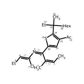 C\C=C(C)/C(=N\C(Cl)=C\CC)c1cc(C(C)=O)c(C(C)(CC)CCCCCC)s1